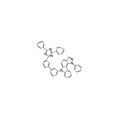 c1ccc(-c2nc(-c3ccccc3)nc(-c3cccc(-c4cccc(-n5c6ccccc6c6c7c(ccc65)cnn7-c5ccccc5)c4)c3)n2)cc1